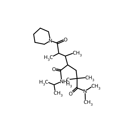 CC(C)NC(=O)C(CC(C)(C)C(=O)N(C)C)C(C)C(C)C(=O)N1CCCCC1